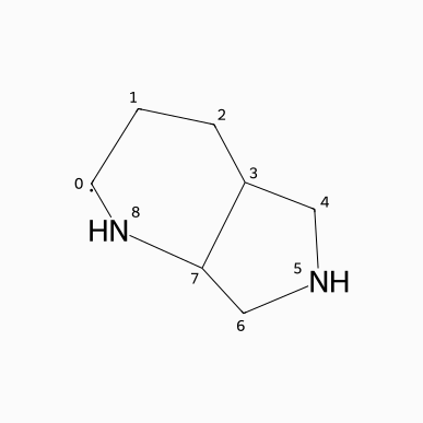 [CH]1CCC2CNCC2N1